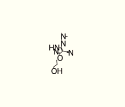 CN(C)C=Nc1[nH]nc(OCCCO)c1C#N